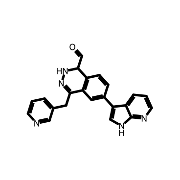 O=CC1NN=C(Cc2cccnc2)c2cc(-c3c[nH]c4ncccc34)ccc21